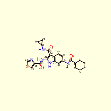 CN(C(=O)C1CCCCC1)c1ccc2c(C(=O)NC3CC3)c(NC(=O)c3cscn3)[nH]c2c1